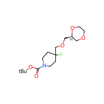 CC(C)(C)OC(=O)N1CCC(F)(COC[C@@H]2COCCO2)CC1